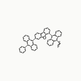 FSc1c2ccccc2c(-c2cccc3c2oc2cc(-c4c5ccccc5c(-c5ccccc5)c5ccccc45)ccc23)c2ccccc12